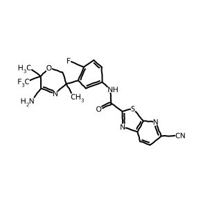 CC1(c2cc(NC(=O)c3nc4ccc(C#N)nc4s3)ccc2F)COC(C)(C(F)(F)F)C(N)=N1